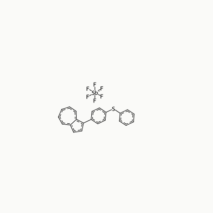 [F][Sb-]([F])([F])([F])([F])[F].c1ccc(Sc2ccc(-c3ccc4cccccc3-4)cc2)cc1